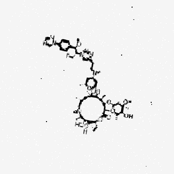 CC[C@H]1OC(=O)[C@H](C)[C@@H](O[C@H]2C[C@@](C)(OC)[C@@H](O)[C@H](C)O2)[C@H](C)[C@@H](O[C@H]2C[C@@H](N(C)CCc3cn([C@H](CF)[C@H](OC)c4ccc(-n5cncn5)cc4)nn3)C[C@@H](C)O2)[C@](C)(O)C[C@@H](C)CN(C)[C@H](C)[C@@H](O)[C@]1(C)O